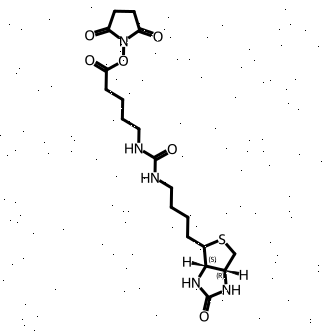 O=C(NCCCCC(=O)ON1C(=O)CCC1=O)NCCCCC1SC[C@@H]2NC(=O)N[C@H]12